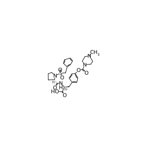 CN1CCN(C(=O)Oc2ccc(C[C@H](NC(=O)[C@@H]3CCCN3S(=O)(=O)Cc3ccccc3)C(=O)O)cc2)CC1